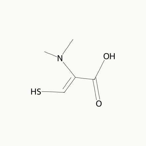 CN(C)/C(=C\S)C(=O)O